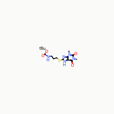 Cn1c(=O)c2[nH]c(SCCCNC(=O)OC(C)(C)C)nc2n(C)c1=O